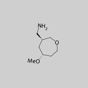 CO[C@H]1CCOC[C@H](CN)C1